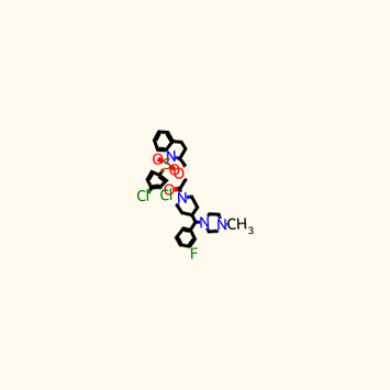 CN1CCN(C(c2cccc(F)c2)C2CCN(C(=O)COCC3CCc4ccccc4N3S(=O)(=O)c3ccc(Cl)c(Cl)c3)CC2)CC1